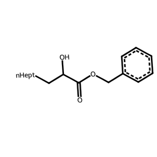 CCCCCCCCC(O)C(=O)OCc1ccccc1